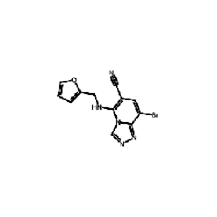 N#Cc1cc(Br)c2nncn2c1NCc1ccco1